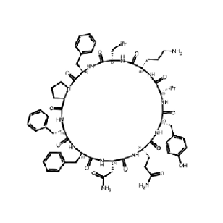 CC(C)C[C@@H]1NC(=O)[C@H](CCCN)NC(=O)[C@H](C(C)C)NC(=O)[C@H](Cc2ccc(O)cc2)NC(=O)[C@H](CCC(N)=O)NC(=O)[C@H](CC(N)=O)NC(=O)[C@@H](Cc2ccccc2)NC(=O)[C@H](Cc2ccccc2)NC(=O)C2CCCN2C(=O)[C@@H](Cc2ccccc2)NC1=O